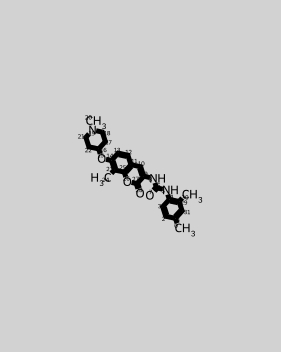 Cc1ccc(NC(=O)Nc2cc3ccc(OC4CCN(C)CC4)c(C)c3oc2=O)c(C)c1